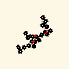 c1ccc(-c2ccccc2N(c2ccc(-c3ccc(-n4c5ccccc5c5c(-c6cccc(-c7ccccc7N(c7ccc(-c8ccc(-n9c%10ccccc%10c%10ccccc%109)cc8)cc7)c7ccc(-c8cccc9oc%10c(-c%11ccccc%11)cccc%10c89)cc7)c6)cccc54)cc3)cc2)c2cccc(-c3cccc4oc5c(-c6ccccc6)cccc5c34)c2)cc1